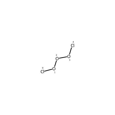 ClOOOCl